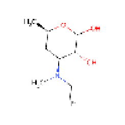 CC(C)CN(C)[C@H]1C[C@@H](C)OC(O)[C@@H]1O